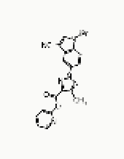 Cc1nn(-c2ccc3c(c2)c(C#N)cn3C(C)C)nc1C(=O)Oc1ccccn1